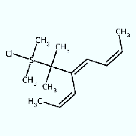 C\C=C/C=C(\C=C/C)C(C)(C)S(C)(C)Cl